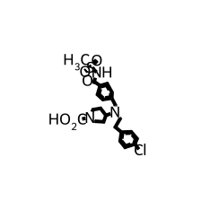 CS(=O)(=O)NC(=O)c1ccc(CN(CCc2ccc(Cl)cc2)C2CCN(C(=O)O)CC2)cc1